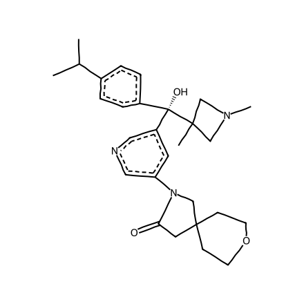 CC(C)c1ccc([C@](O)(c2cncc(N3CC4(CCOCC4)CC3=O)c2)C2(C)CN(C)C2)cc1